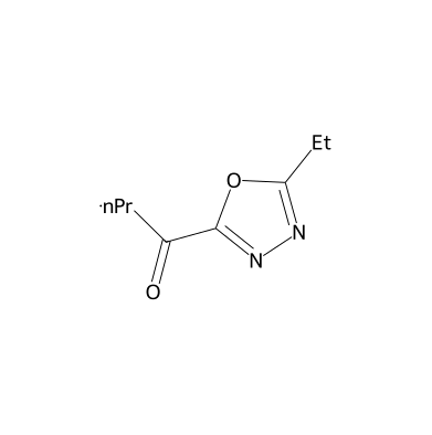 CC[CH]C(=O)c1nnc(CC)o1